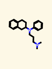 CN(C)CCCN(c1ccccc1)C1CCc2ccccc2C1